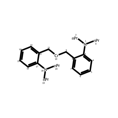 CCCN(CCC)c1ccccc1[CH2][Cr][CH2]c1ccccc1N(CCC)CCC